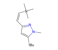 Cn1nc(/C=C\[Si](C)(C)C)cc1C(C)(C)C